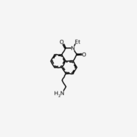 CCN1C(=O)c2cccc3c(CCN)ccc(c23)C1=O